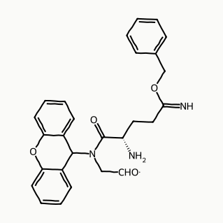 N=C(CC[C@H](N)C(=O)N(C[C]=O)C1c2ccccc2Oc2ccccc21)OCc1ccccc1